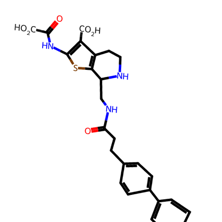 O=C(CCc1ccc(-c2ccccc2)cc1)NCC1NCCc2c1sc(NC(=O)C(=O)O)c2C(=O)O